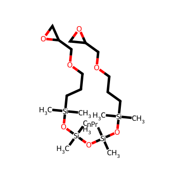 CCC[Si](C)(O[Si](C)(C)CCCOCC1CO1)O[Si](C)(C)O[Si](C)(C)CCCOCC1CO1